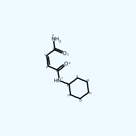 NC(=O)/C=C\C(=O)NC1CCCCC1